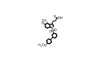 COc1ccc(-c2cccc(S(=O)(=O)n3cc(CCC(=O)O)c4cc(OC)ccc43)c2)cc1